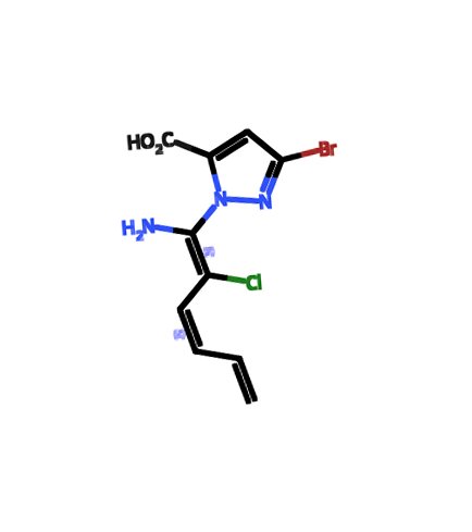 C=C/C=C\C(Cl)=C(/N)n1nc(Br)cc1C(=O)O